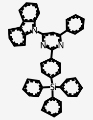 c1ccc(-c2cc(-n3c4ccccc4c4ccccc43)nc(-c3ccc([Si](c4ccccc4)(c4ccccc4)c4ccccc4)cc3)n2)cc1